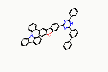 c1ccc(-c2cccc(-c3nc(-c4ccccc4)nc(-c4ccc5c(c4)oc4ccc(-c6ccccc6-n6c7ccccc7c7ccccc76)cc45)n3)c2)cc1